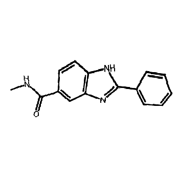 CNC(=O)c1ccc2[nH]c(-c3ccccc3)nc2c1